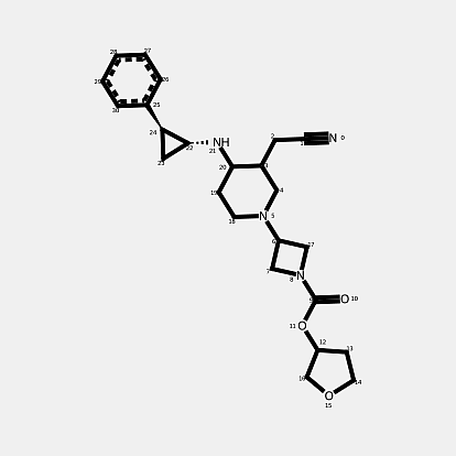 N#CCC1CN(C2CN(C(=O)OC3CCOC3)C2)CCC1N[C@@H]1C[C@H]1c1ccccc1